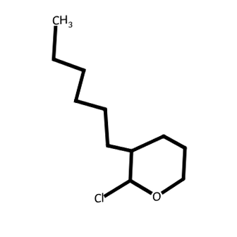 CCCCCCC1CCCOC1Cl